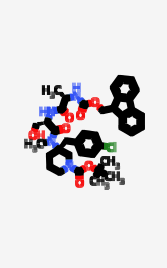 C[C@H](NC(=O)OCC1c2ccccc2-c2ccccc21)C(=O)N[C@@H](CO)C(=O)N(C)[C@@]1(Cc2ccc(Cl)cc2)CCCN(C(=O)OC(C)(C)C)C1